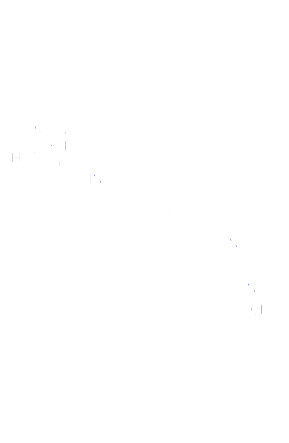 CN1CCCN(c2cccc(OC(CCNC(=O)OC(C)(C)C)c3ccccc3)c2)CC1